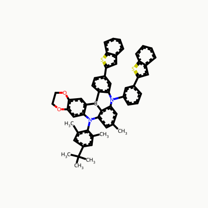 Cc1cc2c3c(c1)N(c1c(C)cc(C(C)(C)C)cc1C)c1cc4c(cc1B3c1ccc(-c3cc5ccccc5s3)cc1N2c1cccc(-c2cc3ccccc3s2)c1)OCCO4